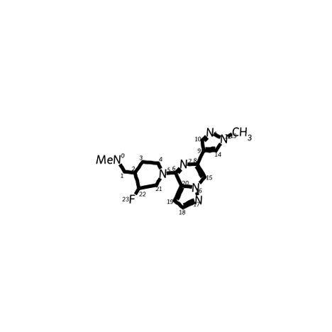 CNCC1CCN(c2nc(-c3cnn(C)c3)cn3nccc23)CC1F